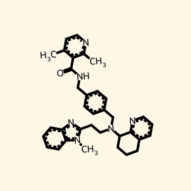 Cc1ccnc(C)c1C(=O)NCc1ccc(CN(CCc2nc3ccccc3n2C)C2CCCc3cccnc32)cc1